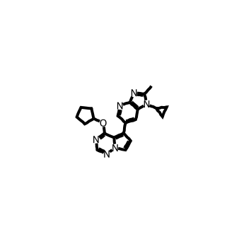 Cc1nc2ncc(-c3ccn4ncnc(OC5CCCC5)c34)cc2n1C1CC1